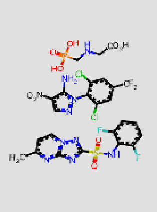 Cc1ccn2nc(S(=O)(=O)Nc3c(F)cccc3F)nc2n1.Nc1c([N+](=O)[O-])cnn1-c1c(Cl)cc(C(F)(F)F)cc1Cl.O=C(O)CNCP(=O)(O)O